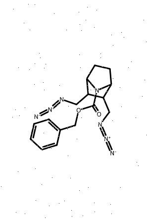 [N-]=[N+]=NCC1C(CN=[N+]=[N-])C2CCC1N2C(=O)OCc1ccccc1